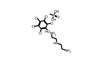 CP(=O)(O)O.NCCNCCN.Oc1c(Cl)c(Cl)c(Cl)c(Cl)c1Cl